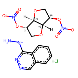 Cl.NNc1nncc2ccccc12.O=[N+]([O-])O[C@H]1CO[C@H]2[C@@H]1OC[C@H]2O[N+](=O)[O-]